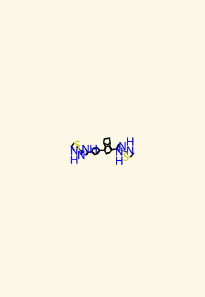 c1cc(-c2ccc(-c3cnc([C@H]4NCCS4)[nH]3)c3c2C2CCC3C2)ccc1-c1cnc([C@H]2NCCS2)[nH]1